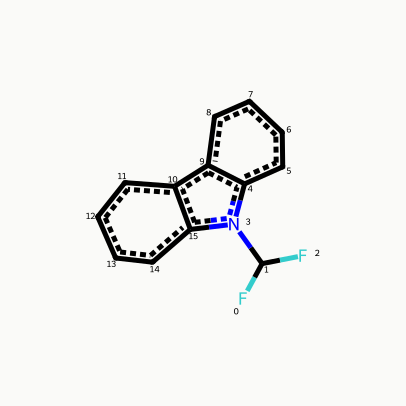 FC(F)n1c2ccccc2c2ccccc21